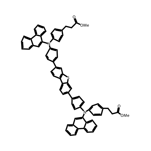 COC(=O)CCc1ccc(N(c2ccc(-c3ccc4c(c3)sc3cc(-c5ccc(N(c6ccc(CCC(=O)OC)cc6)c6cc7ccccc7c7ccccc67)cc5)ccc34)cc2)c2cc3ccccc3c3ccccc23)cc1